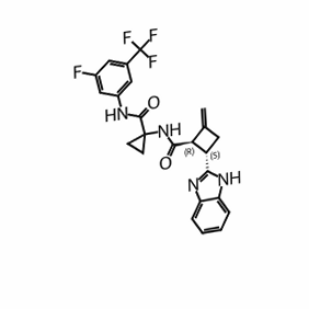 C=C1C[C@H](c2nc3ccccc3[nH]2)[C@H]1C(=O)NC1(C(=O)Nc2cc(F)cc(C(F)(F)F)c2)CC1